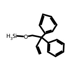 C=CC(CO[SiH3])(c1ccccc1)c1ccccc1